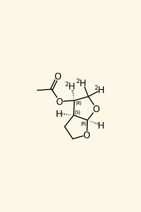 [2H]C1([2H])O[C@H]2OCC[C@H]2[C@@]1([2H])OC(C)=O